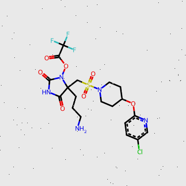 NCCCC1(CS(=O)(=O)N2CCC(Oc3ccc(Cl)cn3)CC2)C(=O)NC(=O)N1OC(=O)C(F)(F)F